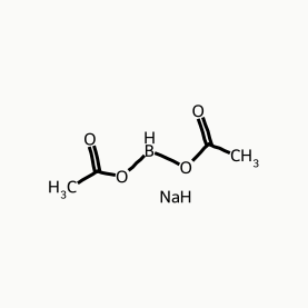 CC(=O)OBOC(C)=O.[NaH]